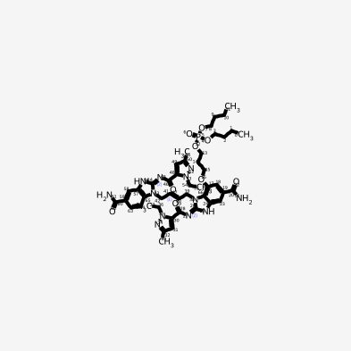 CCCCOP(=O)(OCCCC)OCCCOc1cc(C(N)=O)cc2[nH]/c(=N/C(=O)c3cc(C)nn3CC)n(C/C=C/Cn3/c(=N\C(=O)c4cc(C)nn4CC)[nH]c4cc(C(N)=O)ccc43)c12